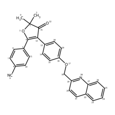 CC1(C)OC(c2ccc(C#N)cc2)=C(c2ccc(OCc3ccc4ccccc4n3)cc2)C1=O